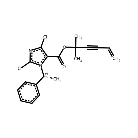 C=CC#CC(C)(C)OC(=O)c1c(Cl)nc(Cl)n1[C@H](C)c1ccccc1